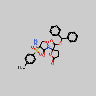 Cc1ccc(S(=O)(=O)[C@@]2(N)CON(C3(C(=O)OC(c4ccccc4)c4ccccc4)CCC(=O)O3)C2=O)cc1